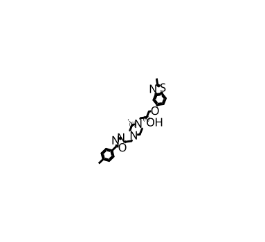 Cc1ccc(-c2nnc(CN3CCN(C[C@@H](O)COc4ccc5sc(C)nc5c4)[C@@H](C)C3)o2)cc1